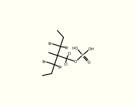 CCC(Br)(Br)C(C)(C(Br)(Br)CC)C(Cl)(Cl)OP(=O)(O)O